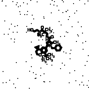 Cc1c(C(=O)NCC(C)(C)C(=O)NCCO)cc(-c2cc(C(C)(C)C)c3c(c2)C2(CCO3)CC2)n1CC1CCCCC1